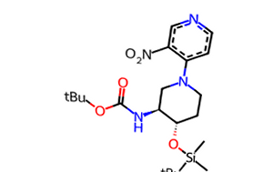 CC(C)(C)OC(=O)N[C@H]1CN(c2ccncc2[N+](=O)[O-])CC[C@@H]1O[Si](C)(C)C(C)(C)C